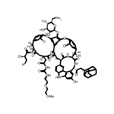 CC[C@H](CC(C)C)C(=O)N[C@H]1C(=O)C[C@@H](CC(=O)NC(=O)NCCOCCOC)C(=O)N[C@H]2C(=O)C[C@H]3C(=O)N[C@H](C(=O)N[C@H](C(=O)CC4C5CC6CC(C5)CC4C6)c4cc(O)cc(O)c4-c4cc3ccc4O)[C@H](O)c3ccc(c(Cl)c3)Oc3cc2cc(c3O[C@@H]2O[C@H](CN)[C@@H](O)[C@H](O)[C@H]2O)Oc2ccc(cc2Cl)[C@H]1O